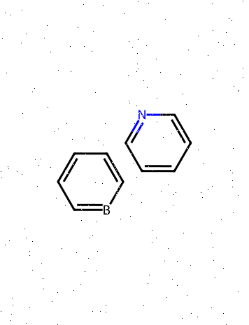 b1ccccc1.c1ccncc1